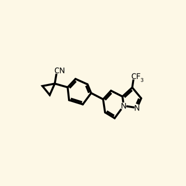 N#CC1(c2ccc(-c3ccn4ncc(C(F)(F)F)c4c3)cc2)CC1